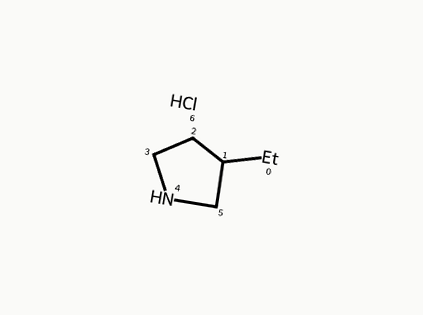 CCC1CCNC1.Cl